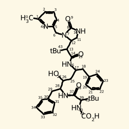 Cc1cccc(CN2C(=O)NCC2C(C(=O)NC(Cc2ccccc2)CC(O)C(Cc2ccccc2)NC(=O)C(NC(=O)O)C(C)(C)C)C(C)(C)C)n1